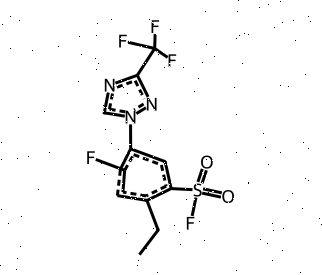 CCc1cc(F)c(-n2cnc(C(F)(F)F)n2)cc1S(=O)(=O)F